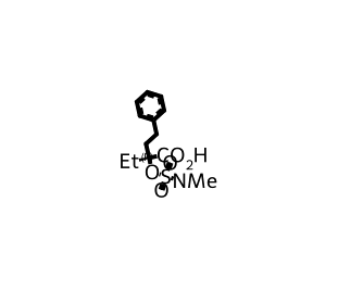 CC[C@](CCc1ccccc1)(OS(=O)(=O)NC)C(=O)O